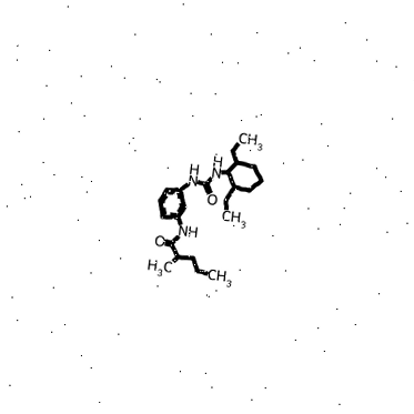 CCCC(C)C(=O)Nc1cccc(NC(=O)NC2C(CC)CCCC2CC)c1